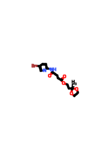 CC1(CCOC(=O)CCC(=O)Nc2ccc(Br)cn2)OCCO1